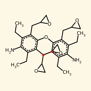 CCc1c(N)c(CC)c(CC2CO2)c(Oc2c(CC3CO3)c(CC)c(N)c(CC)c2CC2CO2)c1CC1CO1